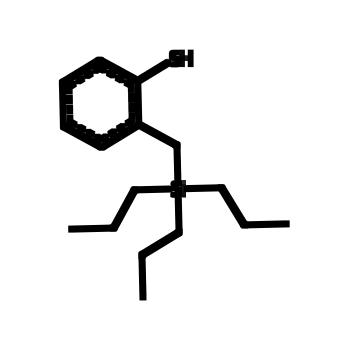 CCC[Si](CCC)(CCC)Cc1ccccc1S